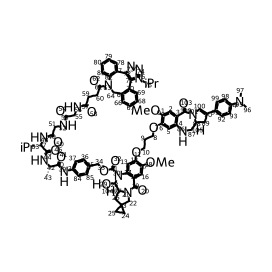 COc1cc2c(cc1OCCCOc1cc3c(cc1OC)C(=O)N1CC4(CC4)C[C@H]1C(O)N3C(=O)OCc1ccc(NC(=O)[C@H](C)NC(=O)[C@@H](NC(=O)CNC(=O)CNC(=O)CCC(=O)N3Cc4ccccc4-c4c(nnn4C(C)C)-c4ccccc43)C(C)C)cc1)NC[C@@H]1CC(c3ccc(N(C)C)cc3)=CN1C2=O